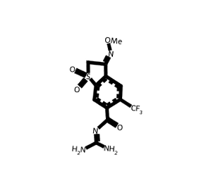 CON=C1CS(=O)(=O)c2cc(C(=O)N=C(N)N)c(C(F)(F)F)cc21